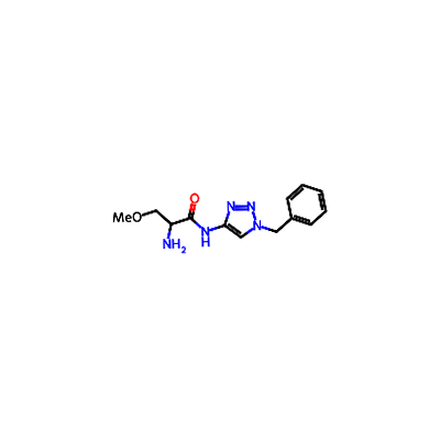 COCC(N)C(=O)Nc1cn(Cc2ccccc2)nn1